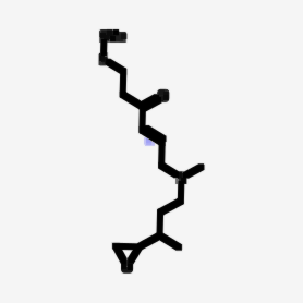 CSSCCC(=O)/C=C/CN(C)CCC(C)C1CO1